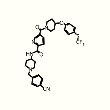 N#Cc1ccc(CN2CCC(NC(=O)c3ccc(C(=O)N4CCC(Oc5ccc(SC(F)(F)F)cc5)CC4)cn3)CC2)cc1